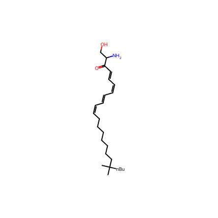 CCCCC(C)(C)CCCCCCC\C=C/C=C/C=C\C=C\C(=O)C(N)CO